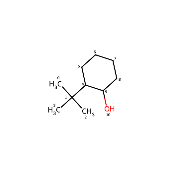 CC(C)(C)C1CCCC[C]1O